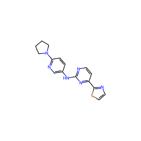 c1cc(-c2nccs2)nc(Nc2ccc(N3CCCC3)nc2)n1